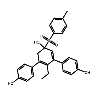 CCC1=C(c2ccc(O)cc2)CC(O)(S(=O)(=O)c2ccc(C)cc2)C=C1c1ccc(O)cc1